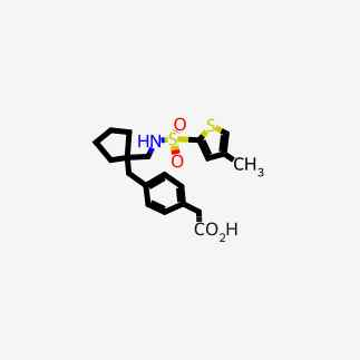 Cc1csc(S(=O)(=O)NCC2(Cc3ccc(CC(=O)O)cc3)CCCC2)c1